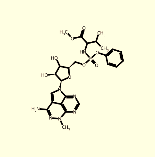 COC(=O)C(NP(=O)(OC[C@H]1O[C@@H](n2cc3c4c(ncnc42)N(C)N=C3N)[C@@H](O)C1O)Oc1ccccc1)C(C)C